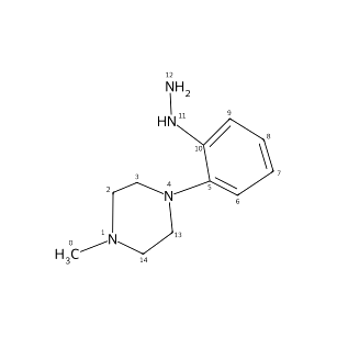 CN1CCN(c2ccccc2NN)CC1